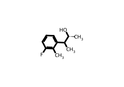 Cc1c(F)cccc1C(C)[C@@H](C)O